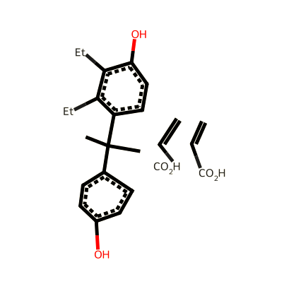 C=CC(=O)O.C=CC(=O)O.CCc1c(O)ccc(C(C)(C)c2ccc(O)cc2)c1CC